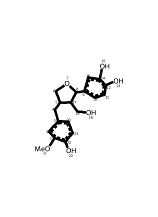 COc1cc(CC2COC(c3ccc(O)c(O)c3)C2CO)ccc1O